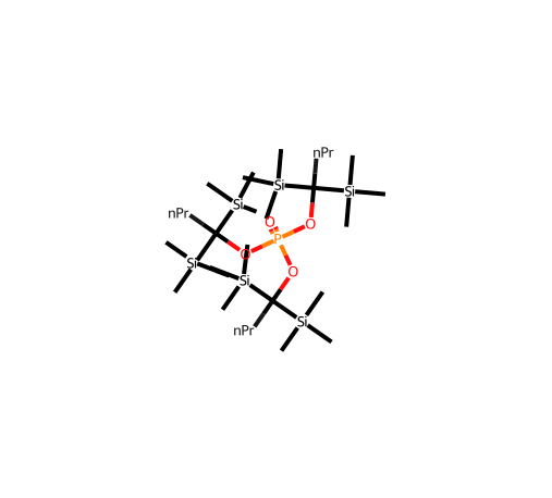 CCCC(OP(=O)(OC(CCC)([Si](C)(C)C)[Si](C)(C)C)OC(CCC)([Si](C)(C)C)[Si](C)(C)C)([Si](C)(C)C)[Si](C)(C)C